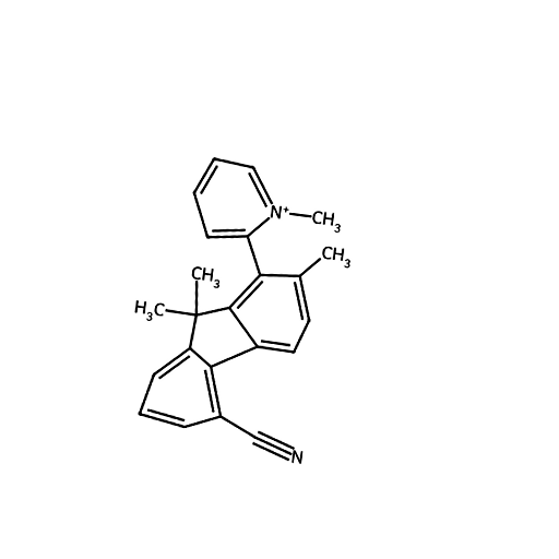 Cc1ccc2c(c1-c1cccc[n+]1C)C(C)(C)c1cccc(C#N)c1-2